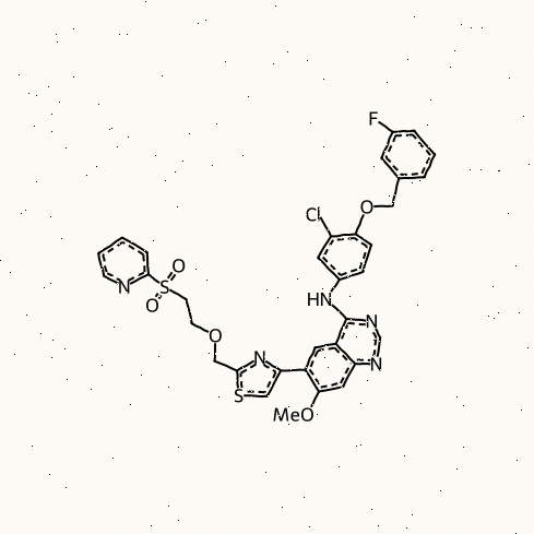 COc1cc2ncnc(Nc3ccc(OCc4cccc(F)c4)c(Cl)c3)c2cc1-c1csc(COCCS(=O)(=O)c2ccccn2)n1